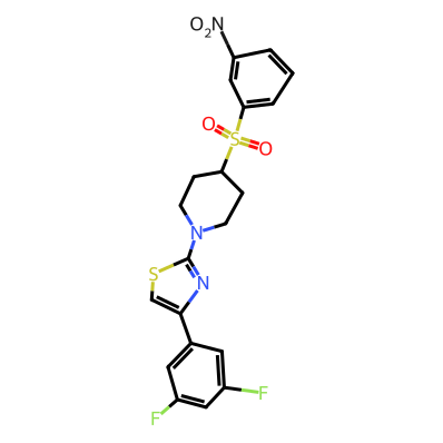 O=[N+]([O-])c1cccc(S(=O)(=O)C2CCN(c3nc(-c4cc(F)cc(F)c4)cs3)CC2)c1